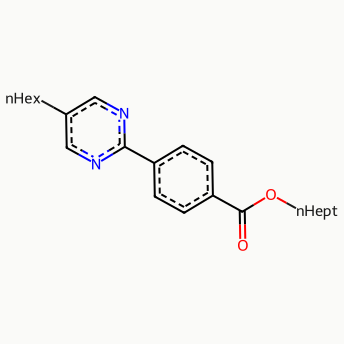 CCCCCCCOC(=O)c1ccc(-c2ncc(CCCCCC)cn2)cc1